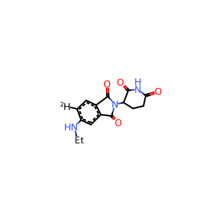 [2H]c1cc2c(cc1NCC)C(=O)N(C1CCC(=O)NC1=O)C2=O